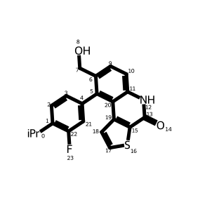 CC(C)c1ccc(-c2c(CO)ccc3[nH]c(=O)c4sccc4c23)cc1F